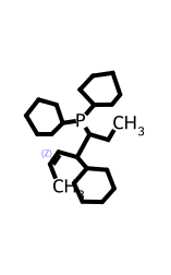 C/C=C\C(C1CCCCC1)C(CC)P(C1CCCCC1)C1CCCCC1